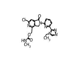 CCn1cnnc1-c1cccc(N2Cc3c(cc(Cl)nc3COC(=O)NC)C2=O)n1